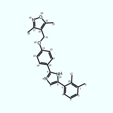 Cc1cccc(-c2cnc(-c3ccc(OCc4c(C)noc4C)cc3)[nH]2)c1C